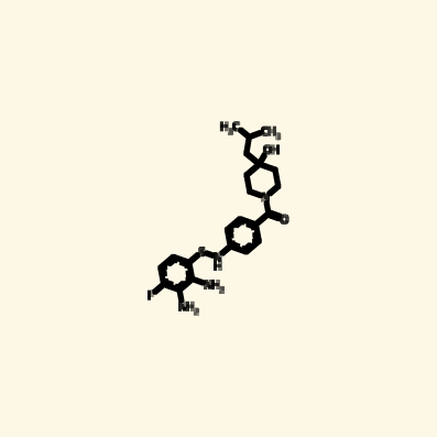 CC(C)CC1(O)CCN(C(=O)c2ccc(NSc3ccc(F)c(N)c3N)cc2)CC1